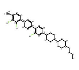 C=CCCC1CCC(C2CCC(c3ccc(-c4ccc(-c5ccc(CCCC)c(F)c5F)cc4)c(F)c3)CC2)CC1